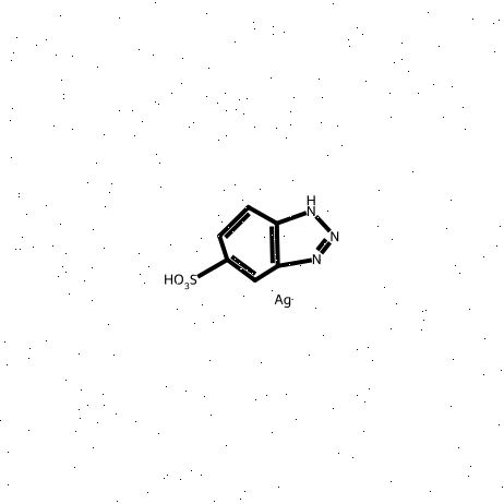 O=S(=O)(O)c1ccc2[nH]nnc2c1.[Ag]